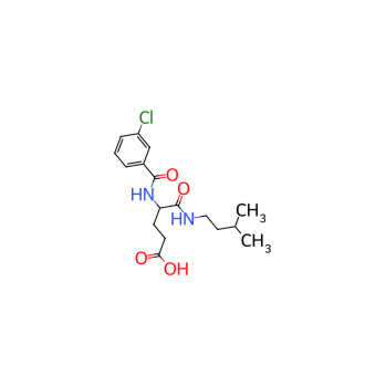 CC(C)CCNC(=O)C(CCC(=O)O)NC(=O)c1cccc(Cl)c1